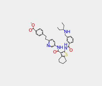 CCC(CC)NCc1cccc(C(=O)Nc2sc3c(c2C(=O)Nc2ccc(CCc4ccc(C(=O)OC)cc4)nc2)CCCC3)c1